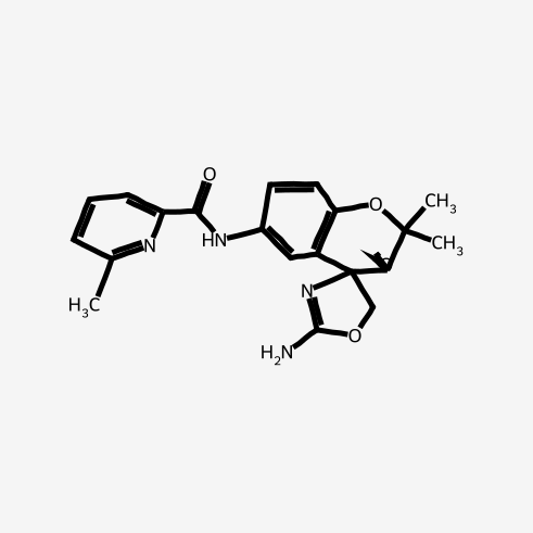 Cc1cccc(C(=O)Nc2ccc3c(c2)C2(COC(N)=N2)C2(COC2)C(C)(C)O3)n1